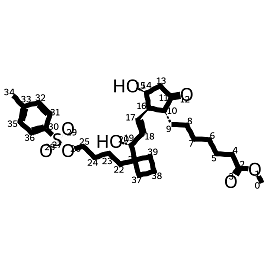 COC(=O)CCCCCC[C@H]1C(=O)C[C@@H](O)[C@@H]1C=C[C@@H](O)C1(CCCCOS(=O)(=O)c2ccc(C)cc2)CCC1